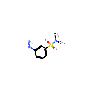 CN(C)S(=O)(=O)c1cccc(NN)c1